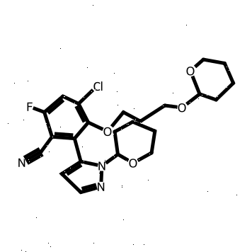 N#Cc1c(F)cc(Cl)c(OCCCOC2CCCCO2)c1-c1ccnn1C1CCCCO1